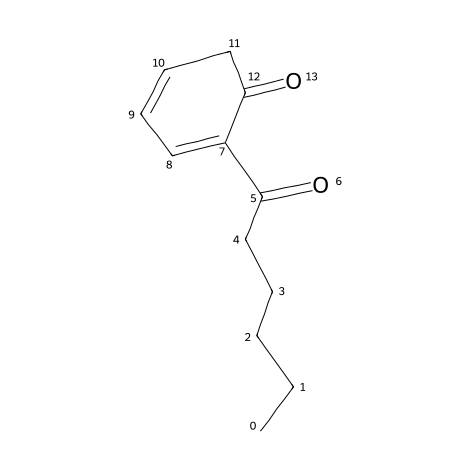 CCCCCC(=O)C1=CC=CCC1=O